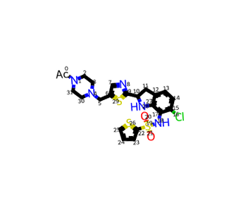 CC(=O)N1CCN(Cc2cnc(C3Cc4ccc(Cl)c(NS(=O)(=O)c5cccs5)c4N3)s2)CC1